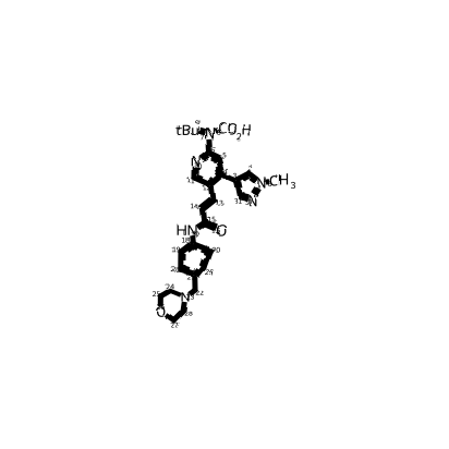 Cn1cc(-c2cc(N(C(=O)O)C(C)(C)C)ncc2C=CC(=O)Nc2ccc(CN3CCOCC3)cc2)cn1